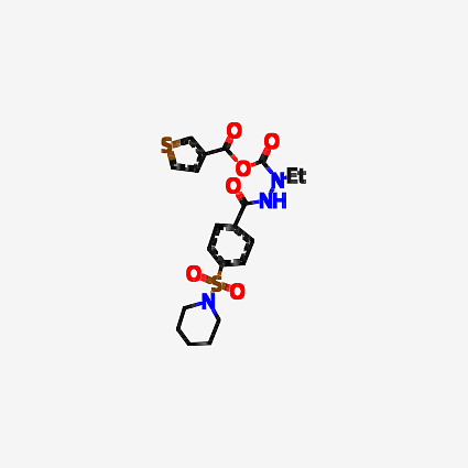 CCN(NC(=O)c1ccc(S(=O)(=O)N2CCCCC2)cc1)C(=O)OC(=O)c1ccsc1